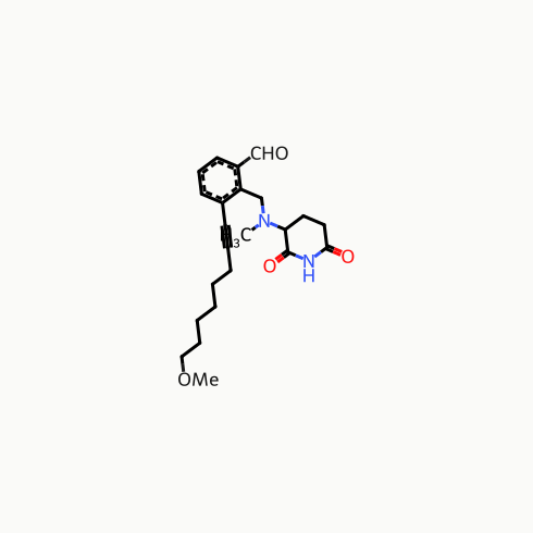 COCCCCCCC#Cc1cccc(C=O)c1CN(C)C1CCC(=O)NC1=O